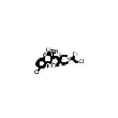 CC1(C)Oc2ccc(Cl)cc2[C@H]2OCC3(CCN(C(=O)CCl)CC3)C[C@@H]21